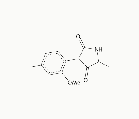 COc1cc(C)ccc1C1C(=O)NC(C)C1=O